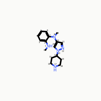 CNc1ccccc1N(C)c1cnn(C2CCNCC2)c1